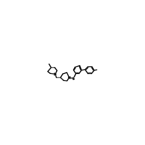 Cc1ccc(-c2cccc(SN3CCC(CN4CCC(C)CC4)CC3)c2)cc1